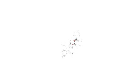 CCC(c1ccc(F)cc1)C1(C(CC)c2ccc(F)cc2)CNCCN1CC(O)CNc1ccccc1